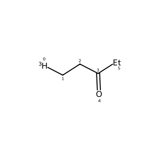 [3H]CCC(=O)CC